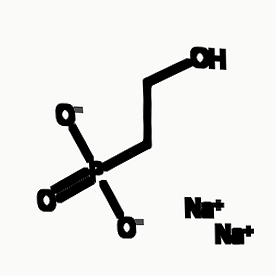 O=P([O-])([O-])CCO.[Na+].[Na+]